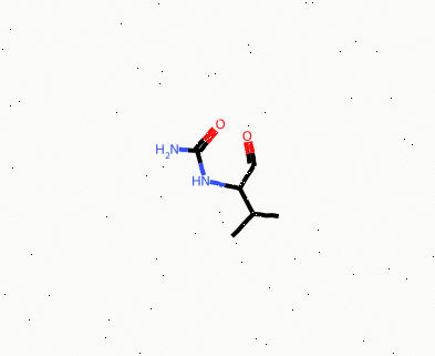 CC(C)C(C=O)NC(N)=O